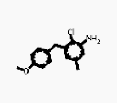 COc1ccc(Cc2cc(C)cc(N)c2Cl)cc1